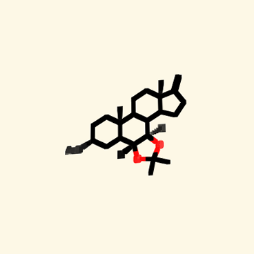 C=C1CCC2C3C(CC[C@]12C)[C@@]1(C)CC[C@H](OC(C)=O)CC1[C@H]1OC(C)(C)O[C@H]31